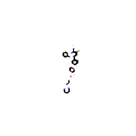 Cc1ccc(Cn2c(-c3ccc(Oc4cccc(NC(=O)OCCCN5CCCCC5)c4)cc3)cc(C(F)(F)F)c(C#N)c2=O)c(C)c1